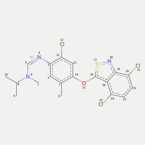 Cc1cc(/N=C\N(C)C(C)C)c(Cl)cc1Oc1snc2c(Cl)ccc(Cl)c12